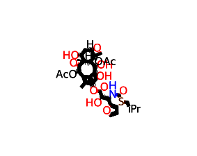 CC(=O)O[C@H]1C(=O)[C@@]2(C)[C@H]([C@H](O)[C@]3(O)C[C@H](OC(=O)[C@H](O)[C@@H](NC(=O)SCC(C)C)c4ccco4)C(C)=C1C3(C)C)[C@]1(OC(C)=O)CO[C@@H]1C[C@@H]2O